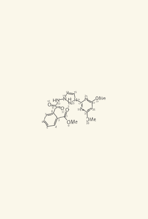 COC(=O)c1ccccc1S(=O)(=O)NN1C=CN(c2nc(OC)cc(OC)n2)N1